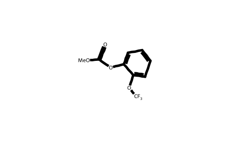 COC(=O)Oc1ccccc1OC(F)(F)F